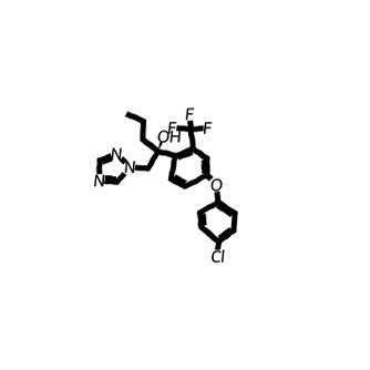 CCC[C@](O)(Cn1cncn1)c1ccc(Oc2ccc(Cl)cc2)cc1C(F)(F)F